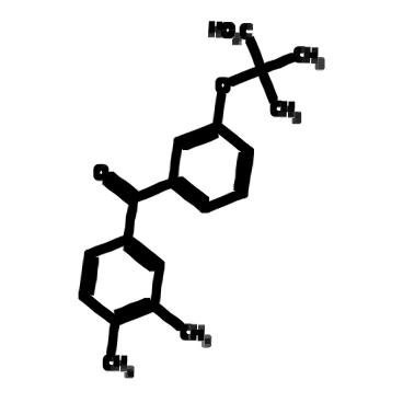 Cc1ccc(C(=O)c2cccc(OC(C)(C)C(=O)O)c2)cc1C